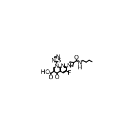 CCCCNC(=O)C1CN(c2nc3c(cc2F)c(=O)c(C(=O)O)cn3-c2ncns2)C1